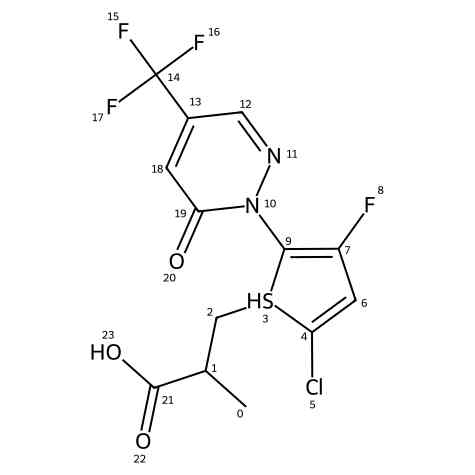 CC(C[SH]1C(Cl)=CC(F)=C1n1ncc(C(F)(F)F)cc1=O)C(=O)O